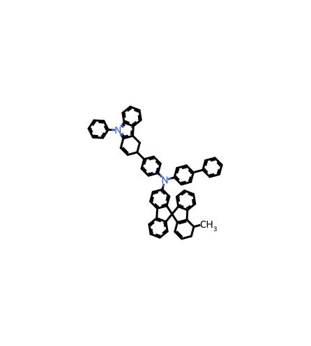 CC1CC=CC2=C1c1ccccc1C21c2ccccc2-c2ccc(N(c3ccc(-c4ccccc4)cc3)c3ccc(C4C=Cc5c(c6ccccc6n5-c5ccccc5)C4)cc3)cc21